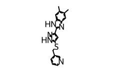 Cc1cc2nc(-c3cc(SCc4cccnc4)[nH]n3)[nH]c2cc1C